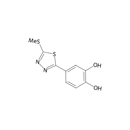 CSc1nnc(-c2ccc(O)c(O)c2)s1